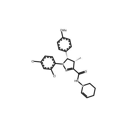 COc1ccc([C@@H]2[C@H](C)C(C(=O)NN3C=CCCC3)=NN2c2ccc(Cl)cc2Cl)cc1